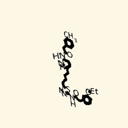 CCOc1cccc(CC(=O)Nc2nnc(CCCCc3ccc(NC(=O)Cc4cccc(C)c4)nn3)s2)c1